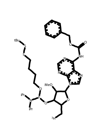 [2H]CC1OC(n2cnc3c(NC(=O)OCc4ccccc4)ncnc32)C(OC)C1OP(OCCCCSSC(C)(C)C)N(C(C)C)C(C)C